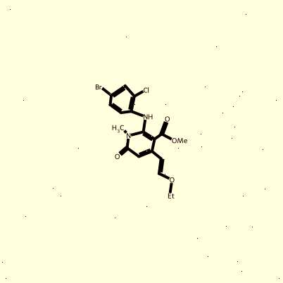 CCOC=Cc1cc(=O)n(C)c(Nc2ccc(Br)cc2Cl)c1C(=O)OC